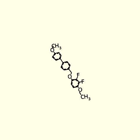 CCOc1ccc(OCc2ccc(-c3ccc(OC)cc3)cc2)c(F)c1F